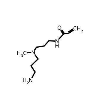 C=CC(=O)NCCCN(C)CCCN